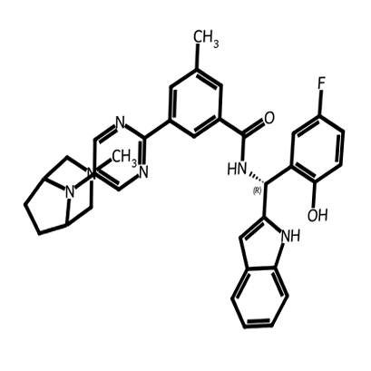 Cc1cc(C(=O)N[C@@H](c2cc3ccccc3[nH]2)c2cc(F)ccc2O)cc(-c2ncc(N3C4CCC3CN(C)C4)cn2)c1